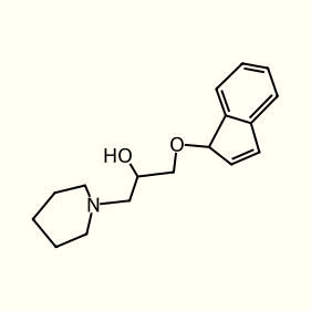 OC(COC1C=Cc2ccccc21)CN1CCCCC1